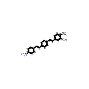 N#Cc1cc(/C=C/c2ccc(/C=C/c3ccc(N)cc3)cc2)ccc1[N+](=O)[O-]